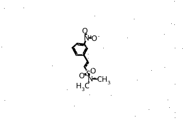 CN(C)S(=O)(=O)C=Cc1cccc([N+](=O)[O-])c1